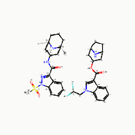 CN1[C@@H]2CCC[C@H]1CC(NC(=O)c1nn(S(C)(=O)=O)c3ccccc13)C2.O=C(OC1CC2CCC(C1)N2)c1cn(CC(F)F)c2ccccc12